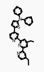 CCc1ccnc(-c2cc(CC)cc(-c3cc(-c4ccc(N(c5ccccc5)c5ccccc5)s4)ccn3)n2)c1